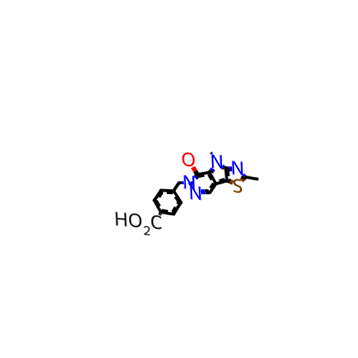 Cc1nc2c(s1)c1cnn(Cc3ccc(C(=O)O)cc3)c(=O)c1n2C